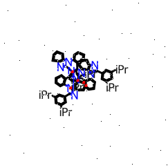 CC(C)c1cc(-c2nc3ccccc3n2-c2ccccc2-c2nc(-c3ccccc3-n3c(-c4cc(C(C)C)cc(C(C)C)c4)nc4ccccc43)nc(-c3ccccc3-n3c(-c4cc(C(C)C)cc(C(C)C)c4)nc4ccccc43)n2)cc(C(C)C)c1